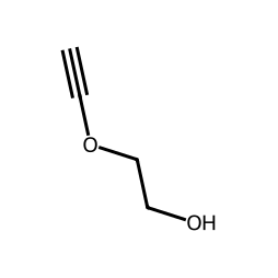 C#COCCO